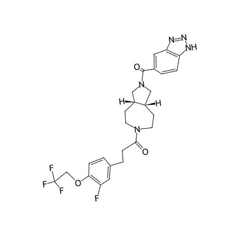 O=C(CCc1ccc(OCC(F)(F)F)c(F)c1)N1CC[C@@H]2CN(C(=O)c3ccc4[nH]nnc4c3)C[C@@H]2CC1